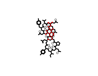 C=C(C)CCCCC(CC(=O)C1CCCC1C(=O)C(CC(C)=O)CC(=O)C(CC(=O)C(CC(=O)CC)c1ccc(C)cc1)C(C)CC)C(=O)CC(CC(C)=O)C(=O)CC(CC(C)=O)C(=O)CC(Cc1ccc(C)cc1)C(=O)C[C@H](C(=O)CC(CCC(C)=O)C(=O)CC(CC(C)CCC(C)C)C(=O)CC(CC(C)=O)C(C)CC(CCC(C)=O)C(C)=O)C(C)C